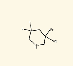 CC(C)C1(C(C)C)CNCC(F)(F)C1